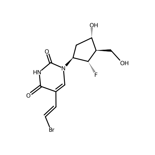 O=c1[nH]c(=O)n([C@H]2C[C@H](O)[C@@H](CO)[C@@H]2F)cc1C=CBr